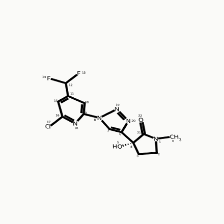 CN1CC[C@@](O)(c2cn(-c3cc(C(F)F)cc(Cl)n3)nn2)C1=O